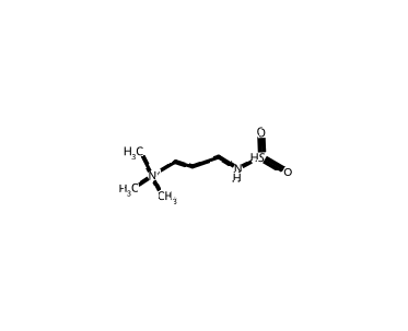 C[N+](C)(C)CCCN[SH](=O)=O